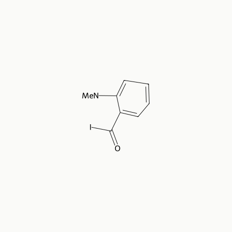 CNc1ccccc1C(=O)I